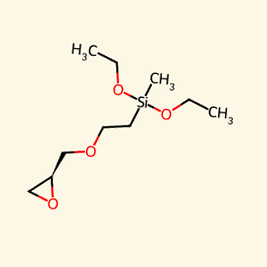 CCO[Si](C)(CCOC[C@@H]1CO1)OCC